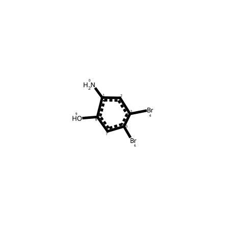 Nc1cc(Br)c(Br)cc1O